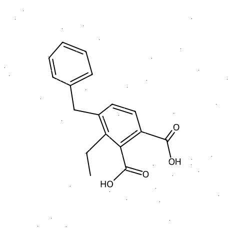 CCc1c(Cc2ccccc2)ccc(C(=O)O)c1C(=O)O